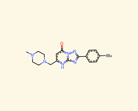 CN1CCN(Cc2cc(=O)n3nc(-c4ccc(C(C)(C)C)cc4)nc3[nH]2)CC1